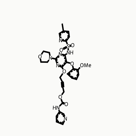 COc1ccccc1Oc1c(NS(=O)(=O)c2ccc(C)cn2)nc(N2CCOCC2)nc1OCC#CCOC(=O)Nc1cccnc1